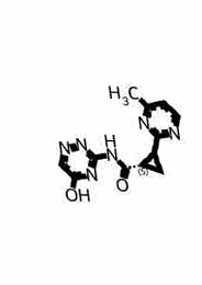 Cc1ccnc(C2C[C@@H]2C(=O)Nc2nncc(O)n2)n1